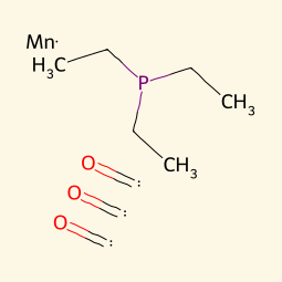 CCP(CC)CC.[C]=O.[C]=O.[C]=O.[Mn]